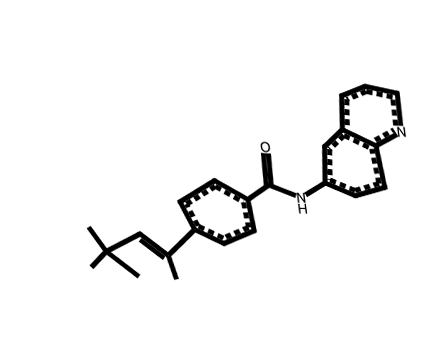 C/C(=C\C(C)(C)C)c1ccc(C(=O)Nc2ccc3ncccc3c2)cc1